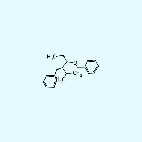 CC[C@@H](OCc1ccccc1)[C@H](Cc1ccccc1)C(C)C